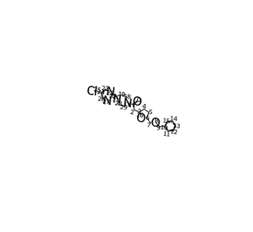 O=C(CC1CCC(COCc2ccccc2)O1)N1CCN(c2ncc(Cl)cn2)CC1